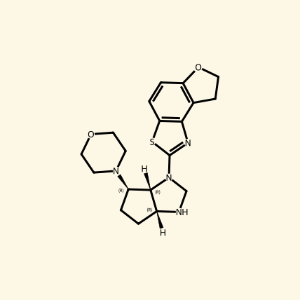 c1cc2sc(N3CN[C@@H]4CC[C@@H](N5CCOCC5)[C@@H]43)nc2c2c1OCC2